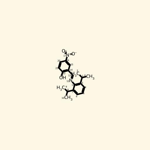 CC(C)c1cccc(C(C)C)c1N=Cc1cc([N+](=O)[O-])ccc1O